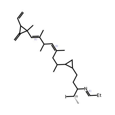 C=CC1C(=C)C1(C)/C=C(\C)C(C)/C=C(/C)CC(C)C1CC1CCC(/N=C/CC)[C@H](C)I